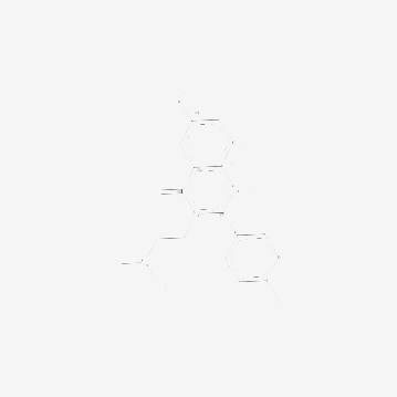 CCN(CC)CCn1c(-c2ccc(C)cc2)nc2ccc(Cl)cc2c1=O